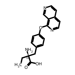 CC[C@](N)(Cc1ccc(Oc2nccc3ccncc23)cc1)C(=O)O